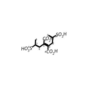 CC(CC(C(=O)O)=C(CC(C)S(=O)(=O)O)C(=O)O)S(=O)(=O)O